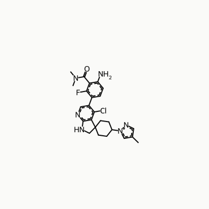 Cc1cnn(C2CCC3(CC2)CNc2ncc(-c4ccc(N)c(C(=O)N(C)C)c4F)c(Cl)c23)c1